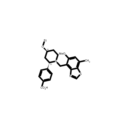 CCO[C@H]1CCN(Cc2c(OC)cc(C)c3scnc23)[C@H](c2ccc(C(=O)O)cc2)C1